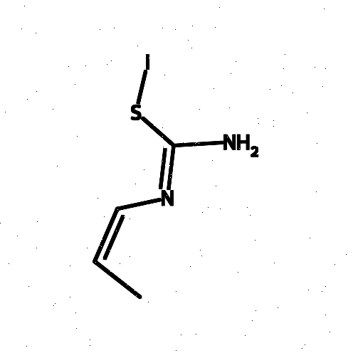 C/C=C\N=C(\N)SI